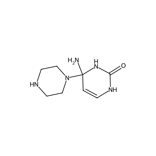 NC1(N2CCNCC2)C=CNC(=O)N1